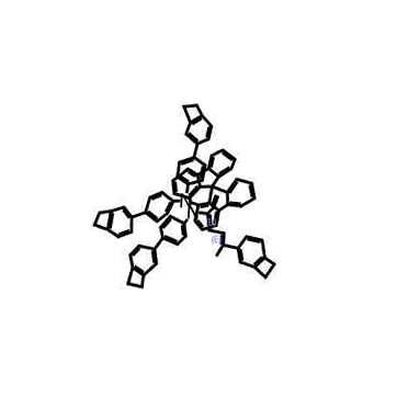 C=C/C(=C\C=C(/C)c1ccc2c(c1)CC2)N(c1ccc(-c2ccc3c(c2)CC3)cc1)c1cccc2c1C1(c3ccccc3-2)c2ccccc2-c2cccc(N(c3ccc(-c4ccc5c(c4)CC5)cc3)c3ccc(-c4ccc5c(c4)CC5)cc3)c21